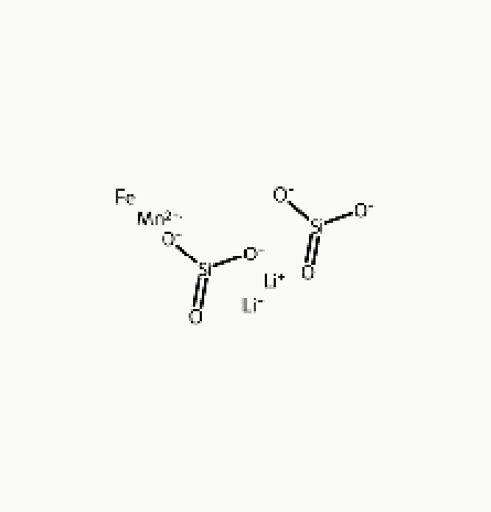 O=[Si]([O-])[O-].O=[Si]([O-])[O-].[Fe].[Li+].[Li+].[Mn+2]